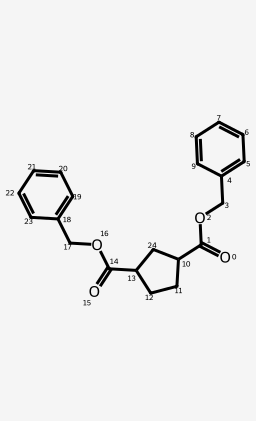 O=C(OCc1ccccc1)C1CCC(C(=O)OCc2ccccc2)C1